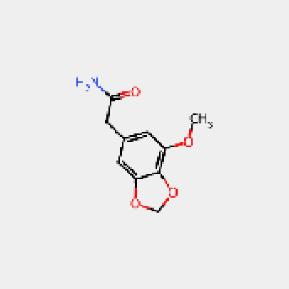 COc1cc(CC(N)=O)cc2c1OCO2